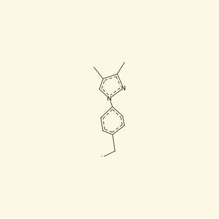 [CH2]Cc1ccc(-n2cc(C)c(C)n2)cc1